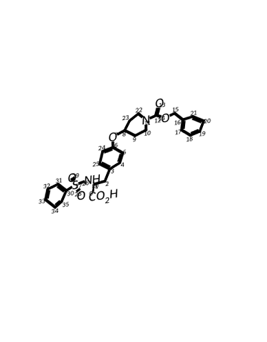 O=C(O)[C@H](Cc1ccc(OC2CCN(C(=O)OCc3ccccc3)CC2)cc1)NS(=O)(=O)c1ccccc1